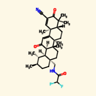 C[C@@H]1[C@H]2[C@H]3C(=O)C=C4[C@@]5(C)C=C(C#N)C(=O)C(C)(C)[C@@H]5CC[C@@]4(C)[C@]3(C)CC[C@@]2(CNC(=O)C(F)F)CC[C@H]1C